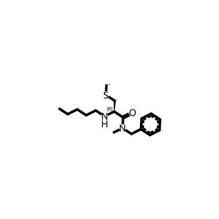 [CH2]SC[C@H](NCCCCC)C(=O)N(C)Cc1ccccc1